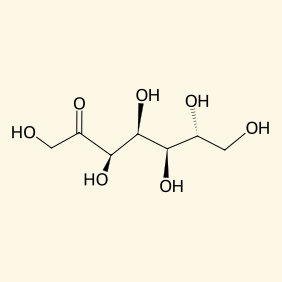 O=C(CO)[C@H](O)[C@@H](O)[C@H](O)[C@H](O)CO